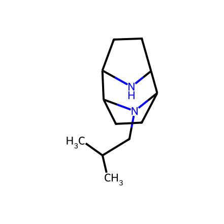 CC(C)CN1C2CCC1C1CCC2N1